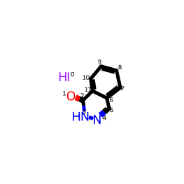 I.O=c1[nH]ncc2ccccc12